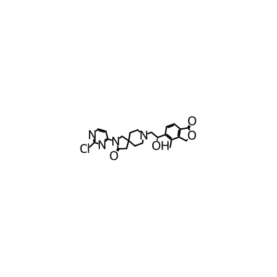 Cc1c([C@@H](O)CN2CCC3(CC2)CC(=O)N(c2ccnc(Cl)n2)C3)ccc2c1COC2=O